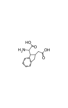 NC(C(=O)O)C1c2ccccc2CC1CC(=O)O